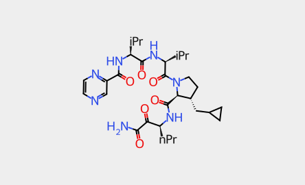 CCC[C@H](NC(=O)[C@@H]1[C@@H](CC2CC2)CCN1C(=O)[C@@H](NC(=O)[C@@H](NC(=O)c1cnccn1)C(C)C)C(C)C)C(=O)C(N)=O